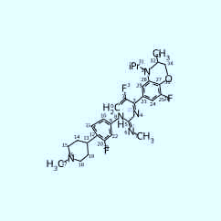 C=C(F)/C(=N\C(=N/C)Nc1ccc(C2CCN(C)CC2)c(F)c1)c1cc(F)c2c(c1)N(C(C)C)C(C)CO2